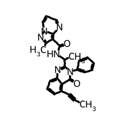 CC#Cc1cccc2nc(C(C)NC(=O)c3c(C)nn4cccnc34)n(-c3ccccc3)c(=O)c12